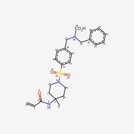 C=CC(=O)NC1(C)CCN(S(=O)(=O)c2ccc(CN(Cc3ccccc3)C(=O)O)cc2)CC1